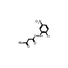 CC(C)(C)C(=O)CC(=O)ONc1cc([N+](=O)[O-])ccc1Cl